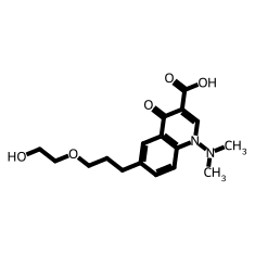 CN(C)n1cc(C(=O)O)c(=O)c2cc(CCCOCCO)ccc21